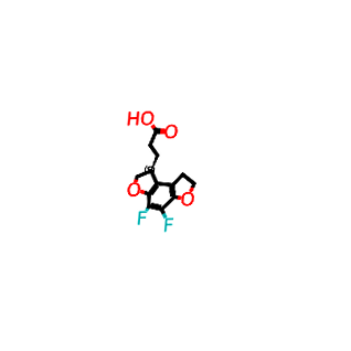 O=C(O)CC[C@@H]1COc2c(F)c(F)c3c(c21)CCO3